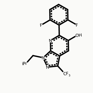 CC(C)Cn1nc(C(F)(F)F)c2cc(O)c(-c3c(F)cccc3F)nc21